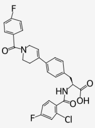 O=C(N[C@@H](Cc1ccc(C2=CCN(C(=O)c3ccc(F)cc3)CC2)cc1)C(=O)O)c1ccc(F)cc1Cl